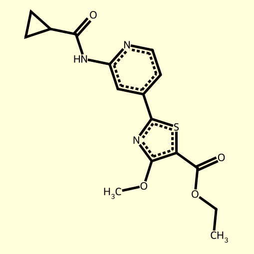 CCOC(=O)c1sc(-c2ccnc(NC(=O)C3CC3)c2)nc1OC